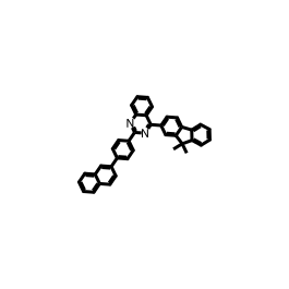 CC1(C)c2ccccc2-c2ccc(-c3nc(-c4ccc(-c5ccc6ccccc6c5)cc4)nc4ccccc34)cc21